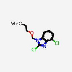 COCCOCn1c(Cl)nc2c(Cl)cccc21